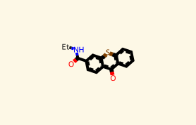 CCNC(=O)c1ccc2c(=O)c3ccccc3sc2c1